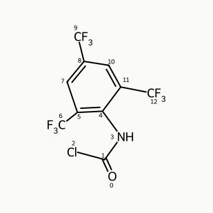 O=C(Cl)Nc1c(C(F)(F)F)cc(C(F)(F)F)cc1C(F)(F)F